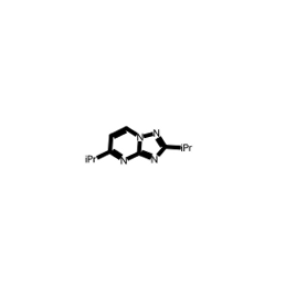 CC(C)c1ccn2nc(C(C)C)nc2n1